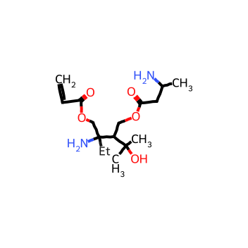 C=CC(=O)OCC(N)(CC)C(COC(=O)CC(C)N)C(C)(C)O